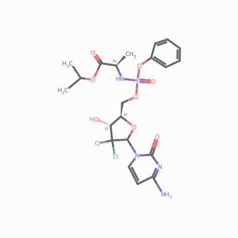 CC(C)OC(=O)[C@@H](C)NP(=O)(OC[C@H]1OC(n2ccc(N)nc2=O)C(Cl)(Cl)[C@@H]1O)Oc1ccccc1